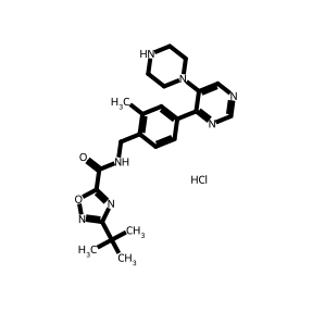 Cc1cc(-c2ncncc2N2CCNCC2)ccc1CNC(=O)c1nc(C(C)(C)C)no1.Cl